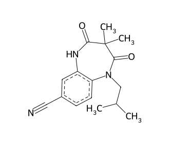 CC(C)CN1C(=O)C(C)(C)C(=O)Nc2cc(C#N)ccc21